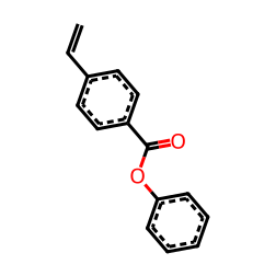 C=Cc1ccc(C(=O)Oc2ccccc2)cc1